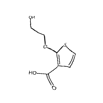 O=C(O)c1ccsc1OCCO